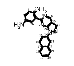 Nc1ccc(N)c(-c2ncc3cnn(-c4ccc5ccccc5c4)c3n2)c1